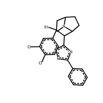 CCC1(c2ccc(Cl)c(Cl)c2)CC2CCC(C1c1nc(-c3ccccc3)no1)N2C